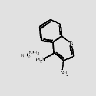 N.N.Nc1cnc2ccccc2c1N